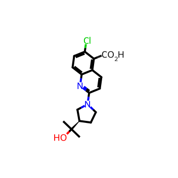 CC(C)(O)[C@@H]1CCN(c2ccc3c(C(=O)O)c(Cl)ccc3n2)C1